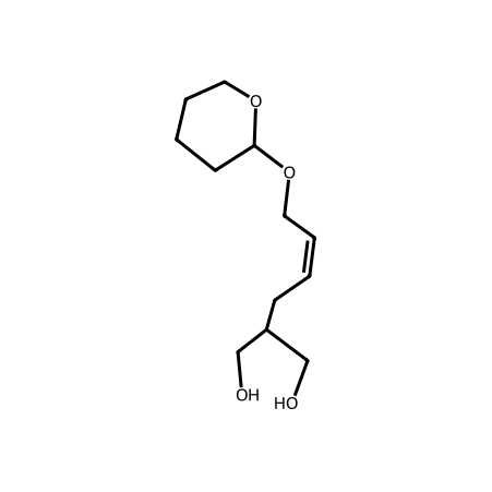 OCC(CO)C/C=C\COC1CCCCO1